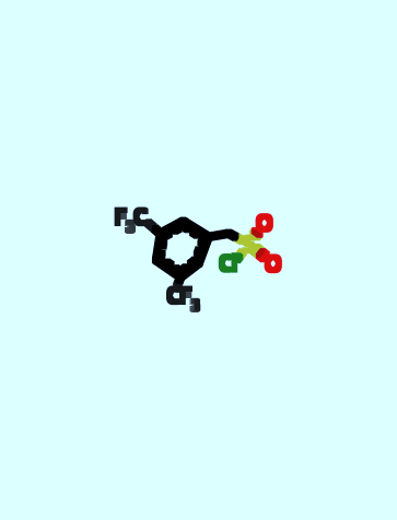 O=S(=O)(Cl)Cc1cc(C(F)(F)F)cc(C(F)(F)F)c1